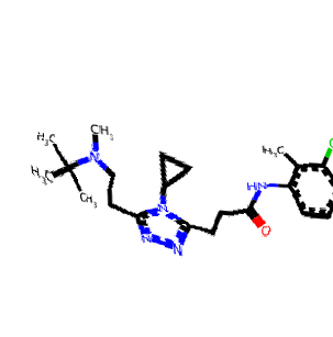 Cc1c(Cl)cccc1NC(=O)CCc1nnc(CCN(C)C(C)(C)C)n1C1CC1